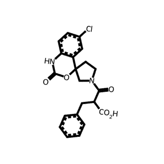 O=C1Nc2ccc(Cl)cc2C2(CCN(C(=O)C(Cc3ccccc3)C(=O)O)C2)O1